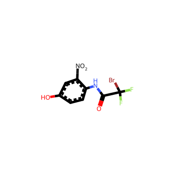 O=C(Nc1ccc(O)cc1[N+](=O)[O-])C(F)(F)Br